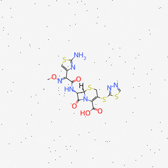 CON=C(C(=O)N[C@@H]1C(=O)N2C(C(=O)O)=C(Sc3nncs3)CS[C@@H]12)c1csc(N)n1